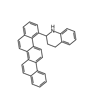 c1ccc2c(c1)CCC(c1cccc3ccc4c5ccc6ccccc6c5ccc4c13)N2